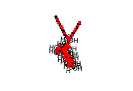 CCCCCCCCCCCCC/C=C/[C@@H](O)[C@H](CO[C@@H]1OC(CO)[C@@H](O[C@@H]2OC(CO)[C@H](O[C@@H]3OC(CO)[C@H](O)[C@H](O)C3NC(C)=O)[C@H](O[C@@H]3OC(CO)[C@@H](O[C@@H]4OC(CO)[C@H](O)[C@H](O[C@]5(C(=O)O)CC(O)[C@@H](NC(C)=O)C([C@H](O)[C@H](O)CO)O5)C4O)[C@H](O)C3NC(C)=O)C2O)[C@H](O)C1O)NC(=O)CCCCCCCCCCCCCCCCCCC